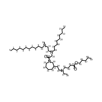 CCCCCCCCCCCN(C)CCN(CCCCCCCCC)CC(=O)N1CCCCC(CCN(CC)CCCC(=O)OCCCCC)C1